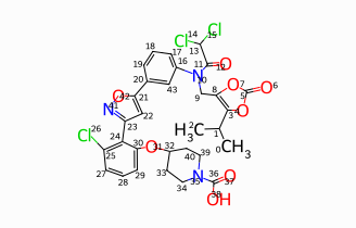 CC(C)c1oc(=O)oc1CN(C(=O)C(Cl)Cl)c1cccc(-c2cc(-c3c(Cl)cccc3OC3CCN(C(=O)O)CC3)no2)c1